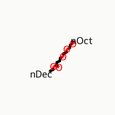 CCCCCCCCCCCCOC(=O)CCCOCCOCCOCCCCCCCC